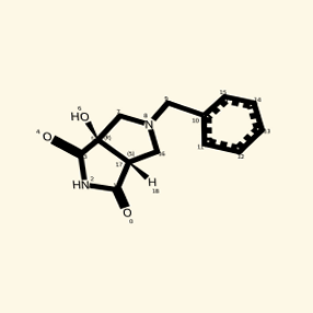 O=C1NC(=O)[C@]2(O)CN(Cc3ccccc3)C[C@H]12